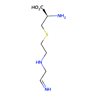 N=CCNCCSC[C@H](N)C(=O)O